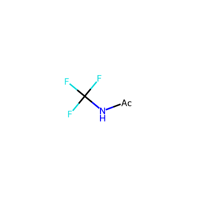 CC(=O)NC(F)(F)F